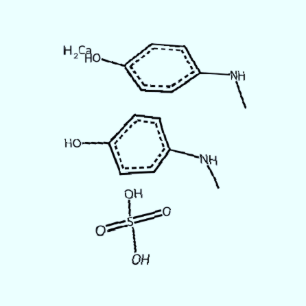 CNc1ccc(O)cc1.CNc1ccc(O)cc1.O=S(=O)(O)O.[CaH2]